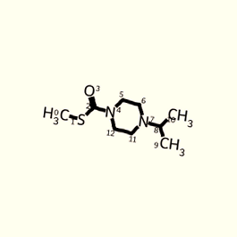 CSC(=O)N1CCN(C(C)C)CC1